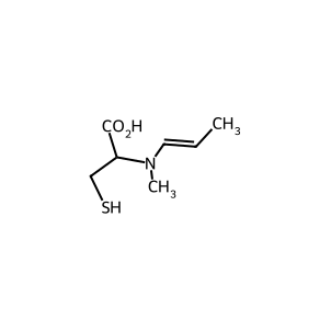 CC=CN(C)C(CS)C(=O)O